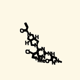 C=CC(=O)N1C[C@@H]2CN(c3nc(Nc4cn(C)nc4OC)nc4[nH]cc(Cl)c34)C[C@@H]2C1